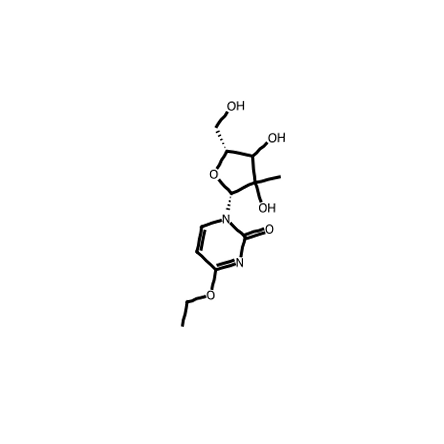 CCOc1ccn([C@@H]2O[C@H](CO)C(O)C2(C)O)c(=O)n1